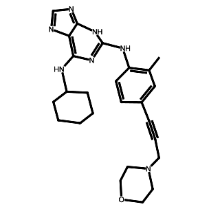 Cc1cc(C#CCN2CCOCC2)ccc1Nc1nc(NC2CCCCC2)c2ncnc-2[nH]1